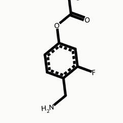 NCc1ccc(OC(N)=O)cc1F